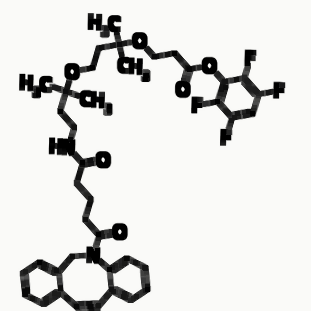 CC(C)(CCNC(=O)CCCC(=O)N1Cc2ccccc2C#Cc2ccccc21)OCCC(C)(C)OCCC(=O)Oc1c(F)c(F)cc(F)c1F